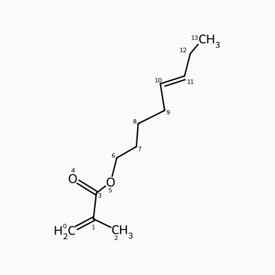 C=C(C)C(=O)OCCCCC=CCC